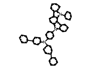 c1ccc(-c2ccc(N(c3ccc(-c4ccccc4)cc3)c3ccc(-n4c5ccccc5c5c4ccc4c6ccccc6n(-c6ccccc6)c45)cc3)cc2)cc1